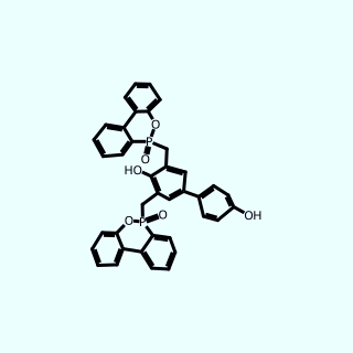 O=P1(Cc2cc(-c3ccc(O)cc3)cc(CP3(=O)Oc4ccccc4-c4ccccc43)c2O)Oc2ccccc2-c2ccccc21